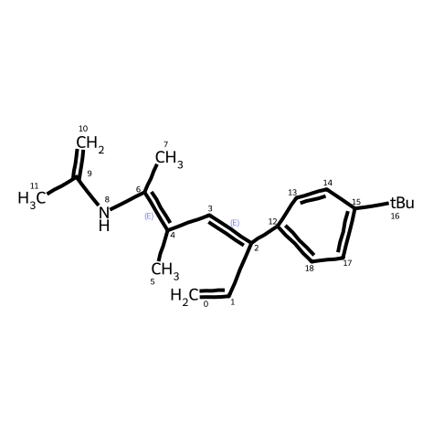 C=C/C(=C\C(C)=C(/C)NC(=C)C)c1ccc(C(C)(C)C)cc1